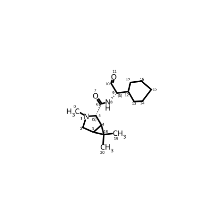 CN1CC2C([C@H]1C(=O)N[C@H](C=O)C1CCCCC1)C2(C)C